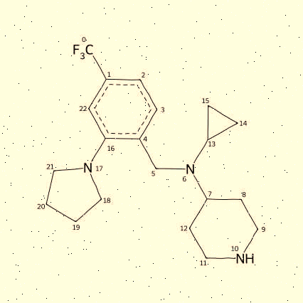 FC(F)(F)c1ccc(CN(C2CCNCC2)C2CC2)c(N2CCCC2)c1